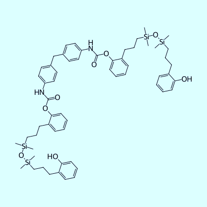 C[Si](C)(CCCc1ccccc1O)O[Si](C)(C)CCCc1ccccc1OC(=O)Nc1ccc(Cc2ccc(NC(=O)Oc3ccccc3CCC[Si](C)(C)O[Si](C)(C)CCCc3ccccc3O)cc2)cc1